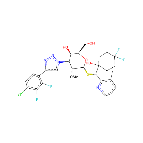 CO[C@@H]1[C@@H](n2cc(-c3ccc(Cl)c(F)c3F)nn2)[C@@H](O)[C@@H](CO)O[C@H]1S[C@H](c1ncccc1C)C1(O)CCC(F)(F)CC1